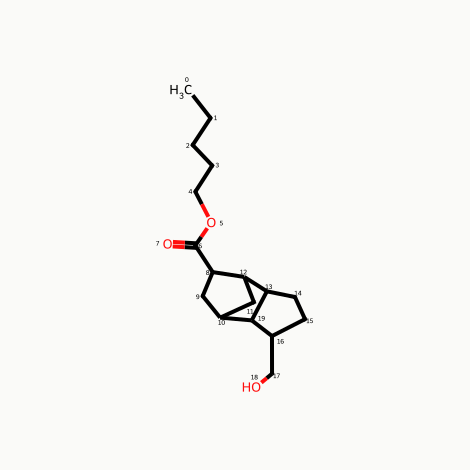 CCCCCOC(=O)C1CC2CC1C1CCC(CO)C21